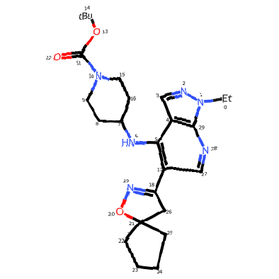 CCn1ncc2c(NC3CCN(C(=O)OC(C)(C)C)CC3)c(C3=NOC4(CCCC4)C3)cnc21